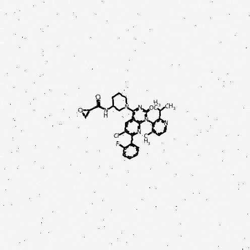 Cc1ccnc(C(C)C)c1-n1c(=O)nc(N2CCCC(NC(=O)C3CO3)C2)c2cc(Cl)c(-c3ccccc3F)nc21